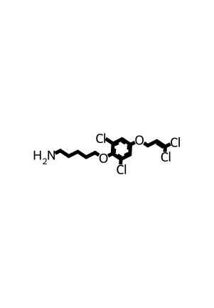 NCCCCCOc1c(Cl)cc(OCC=C(Cl)Cl)cc1Cl